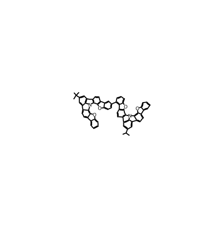 CC(C)c1cc2c3ccc4c5ccccc5oc4c3n3c2c(c1)c1ccc2c(oc4cccc(-c5ccc6oc7c(ccc8c9cc(C(C)(C)C)cc%10c%11ccc%12c%13ccccc%13oc%12c%11n(c%109)c87)c6c5)c42)c13